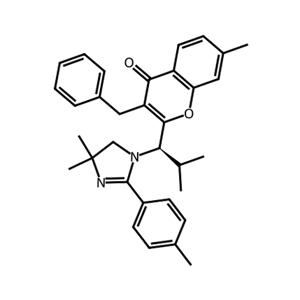 Cc1ccc(C2=NC(C)(C)CN2[C@@H](c2oc3cc(C)ccc3c(=O)c2Cc2ccccc2)C(C)C)cc1